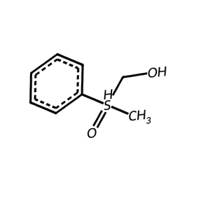 C[SH](=O)(CO)c1ccccc1